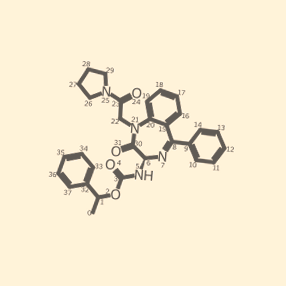 CC(OC(=O)N[C@@H]1N=C(c2ccccc2)c2ccccc2N(CC(=O)N2CCCC2)C1=O)c1ccccc1